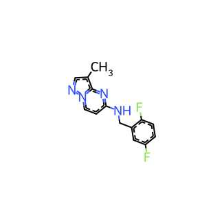 Cc1cnn2ccc(NCc3cc(F)ccc3F)nc12